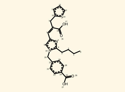 CCCCc1nc(C=C(Cc2cccs2)C(=O)O)cn1Cc1ccc(C(=O)O)cc1